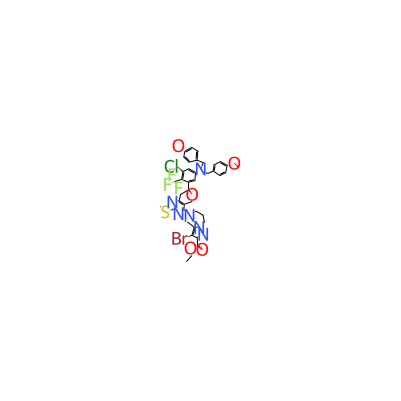 CCOC(=O)c1nn2c(c1Br)CN(c1nc(SC)nc3c1COC(c1cc(N(Cc4ccc(OC)cc4)Cc4ccc(OC)cc4)cc(Cl)c1C(F)(F)F)C3)CCC2